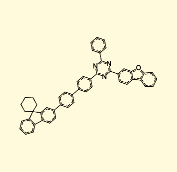 c1ccc(-c2nc(-c3ccc(-c4ccc(-c5ccc6c(c5)C5(CCCCC5)c5ccccc5-6)cc4)cc3)nc(-c3ccc4c(c3)oc3ccccc34)n2)cc1